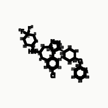 FC1(F)CCC(NC2Cc3cc(Cl)ccc3-n3c(nnc3[C@H]3CC[C@H](Oc4ccccn4)CC3)C2)CC1